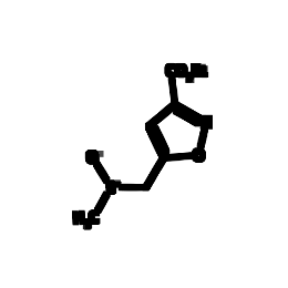 CCOC(=O)c1cc(C[S+](C)[O-])on1